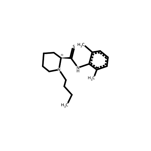 CCCCN1CCCC[C@H]1C(=S)Nc1c(C)cccc1C